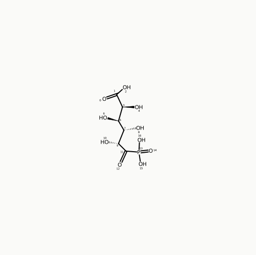 O=C(O)[C@@H](O)[C@H](O)[C@H](O)[C@@H](O)C(=O)P(=O)(O)O